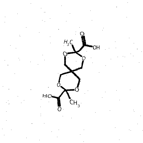 CC1(C(=O)O)OCC2(CO1)COC(C)(C(=O)O)OC2